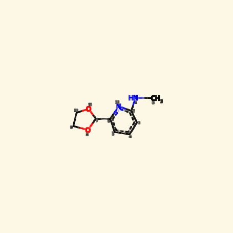 CNc1cc[c]c(C2OCCO2)n1